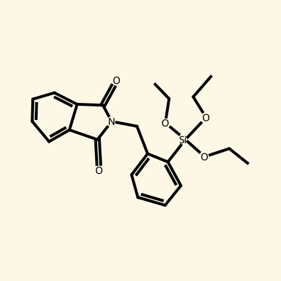 CCO[Si](OCC)(OCC)c1ccccc1CN1C(=O)c2ccccc2C1=O